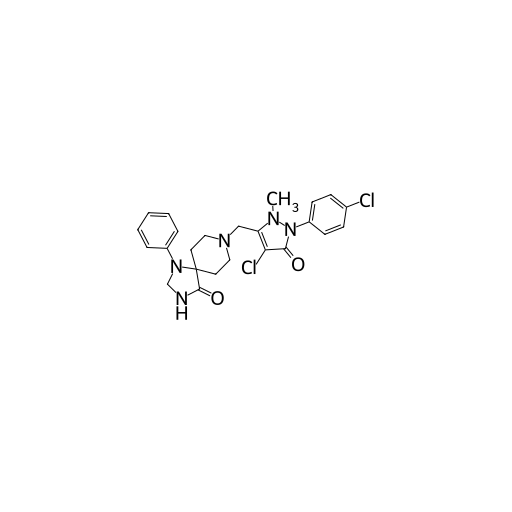 Cn1c(CN2CCC3(CC2)C(=O)NCN3c2ccccc2)c(Cl)c(=O)n1-c1ccc(Cl)cc1